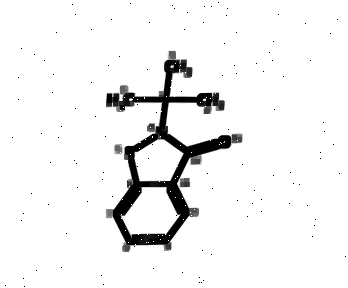 CC(C)(C)n1sc2ccccc2c1=O